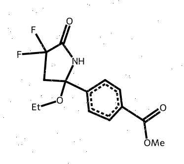 CCOC1(c2ccc(C(=O)OC)cc2)CC(F)(F)C(=O)N1